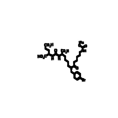 CC(C)(C)OC(=O)NCCCCCC(=O)N(CCCCC(NC(=O)NC(CCC(=O)O)C(=O)O)C(=O)O)Cc1ccc(Br)cc1